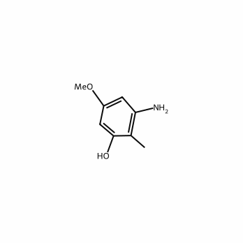 COc1cc(N)c(C)c(O)c1